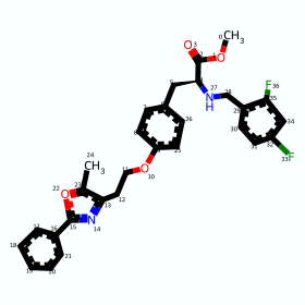 COC(=O)[C@H](Cc1ccc(OCCc2nc(-c3ccccc3)oc2C)cc1)NCc1ccc(F)cc1F